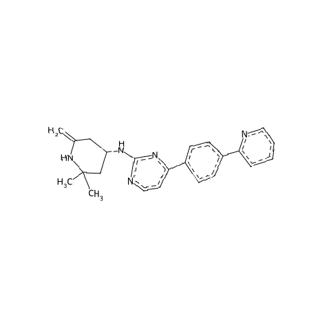 C=C1CC(Nc2nccc(-c3ccc(-c4ccccn4)cc3)n2)CC(C)(C)N1